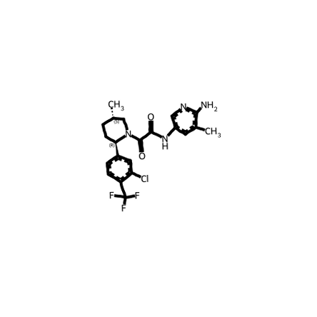 Cc1cc(NC(=O)C(=O)N2C[C@@H](C)CC[C@@H]2c2ccc(C(F)(F)F)c(Cl)c2)cnc1N